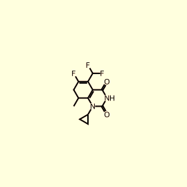 CC1CC(F)=C(C(F)F)c2c1n(C1CC1)c(=O)[nH]c2=O